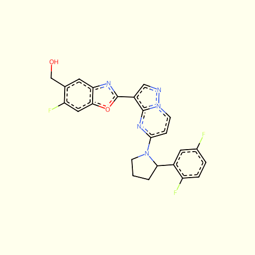 OCc1cc2nc(-c3cnn4ccc(N5CCCC5c5cc(F)ccc5F)nc34)oc2cc1F